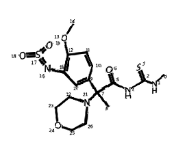 CNC(=S)NC(=O)C(C)(c1ccc(OC)c(N=S(=O)=O)c1)N1CCOCC1